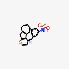 CS(=O)(=O)Nc1cccc(/C=C2/C=CSC3=C2C2=C(CC=CC=C2)C3)c1